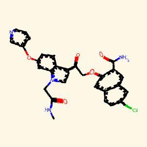 CNC(=O)Cn1cc(C(=O)COc2cc3ccc(Cl)cc3cc2C(N)=O)c2ccc(Oc3cccnc3)cc21